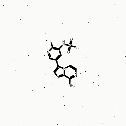 CCS(=O)(=O)Nc1cc(-c2cnc3c(N)nccn23)cnc1F